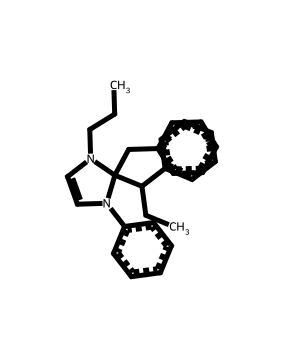 CCCN1C=CN(c2ccccc2)C1(Cc1ccccc1)C(CC)c1ccccc1